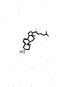 CC(C)CCC[C@@H](C)C1CCC2C3=CC=C4CC(O)CCC4(C)C3CCC21C